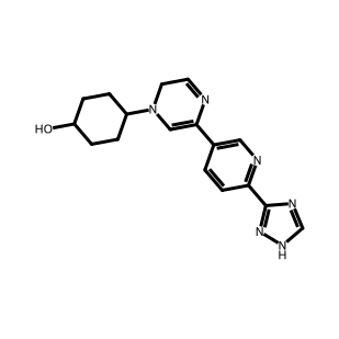 OC1CCC(N2C=C(c3ccc(-c4nc[nH]n4)nc3)N=CC2)CC1